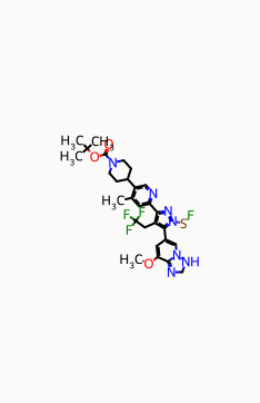 COC1=CC(c2c(CC(F)(F)F)c(-c3cc(C)c(C4CCN(C(=O)OC(C)(C)C)CC4)cn3)nn2SF)=CN2NCN=C12